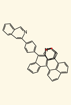 c1ccc2cc(-c3ccc(-c4c5ccccc5c(-c5cccc6cccc(-c7ccncc7)c56)c5ccccc45)cc3)ncc2c1